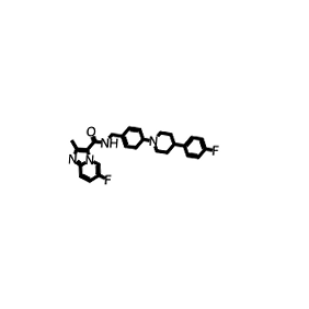 Cc1nc2ccc(F)cn2c1C(=O)NCC1=CCC(N2CCC(c3ccc(F)cc3)CC2)C=C1